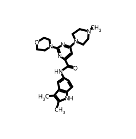 Cc1[nH]c2ccc(NC(=O)c3cc(N4CCN(C)CC4)nc(N4CCOCC4)n3)cc2c1C